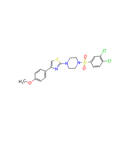 COc1ccc(-c2csc(N3CCN(S(=O)(=O)c4ccc(Cl)c(Cl)c4)CC3)n2)cc1